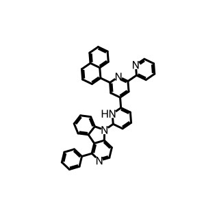 C1=CC(n2c3ccccc3c3c(-c4ccccc4)nccc32)NC(c2cc(-c3ccccn3)nc(-c3cccc4ccccc34)c2)=C1